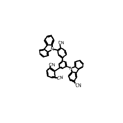 N#Cc1ccc2c(c1)c1ccccc1n2-c1cc(-c2ccc(C#N)c(-n3c4ccccc4c4ccccc43)c2)cc(-c2c(C#N)cccc2C#N)c1